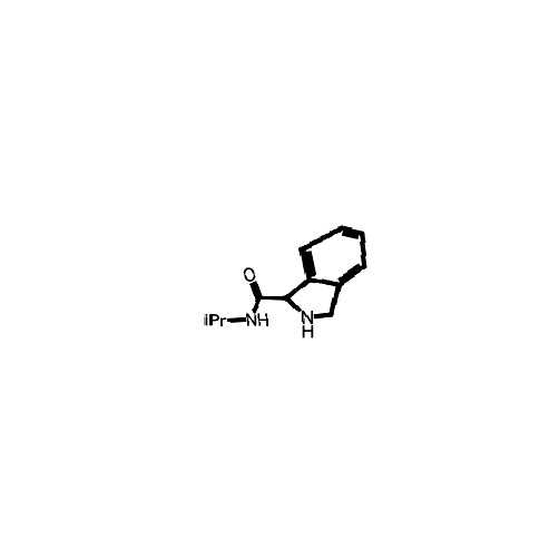 CC(C)NC(=O)C1NCc2ccccc21